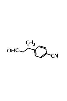 C[C@@H](CC=O)c1ccc(C#N)cc1